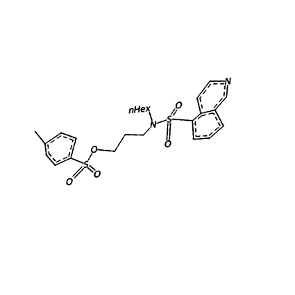 CCCCCCN(CCCOS(=O)(=O)c1ccc(C)cc1)S(=O)(=O)c1cccc2cnccc12